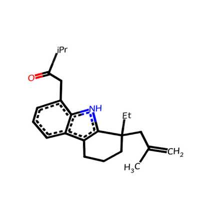 C=C(C)CC1(CC)CCCc2c1[nH]c1c(CC(=O)C(C)C)cccc21